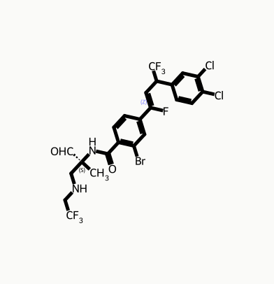 C[C@@](C=O)(CNCC(F)(F)F)NC(=O)c1ccc(/C(F)=C/C(c2ccc(Cl)c(Cl)c2)C(F)(F)F)cc1Br